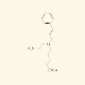 COSCCCN(C/C=C/c1ccccc1)CCN